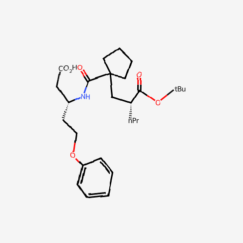 CCC[C@H](CC1(C(=O)N[C@H](CCOc2ccccc2)CC(=O)O)CCCC1)C(=O)OC(C)(C)C